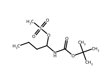 CCCC(NC(=O)OC(C)(C)C)OS(C)(=O)=O